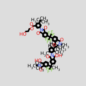 Cc1cc(C)c(C(C)(C)C(C)(C)N(C)C(=O)c2ccc(C(c3ccc4c(c3)C(=O)N(c3cc(C(=O)OCCCO)cc(C(C)(C)C)c3)C4=O)(C(F)(F)F)C(F)(F)F)cc2C=O)c(C)c1N1C(=O)c2cc(C(C)(c3ccc4c(c3)C(=O)N(C(C)(C)C)C4O)C(F)(F)F)ccc2C1O